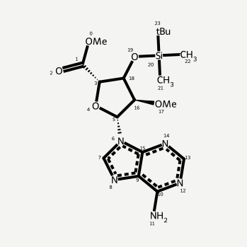 COC(=O)[C@H]1O[C@@H](n2cnc3c(N)ncnc32)[C@H](OC)C1O[Si](C)(C)C(C)(C)C